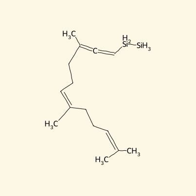 CC(=C=C[SiH2][SiH3])CCC=C(C)CCC=C(C)C